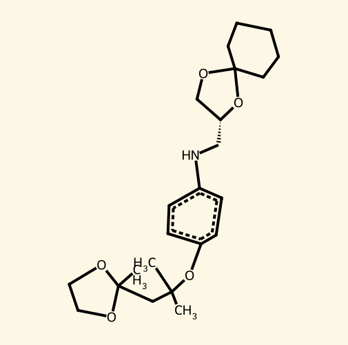 CC(C)(CC1(C)OCCO1)Oc1ccc(NC[C@@H]2COC3(CCCCC3)O2)cc1